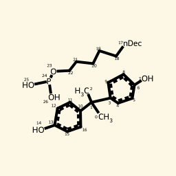 CC(C)(c1ccc(O)cc1)c1ccc(O)cc1.CCCCCCCCCCCCCCCOP(O)O